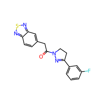 O=C(Cc1ccc2nsnc2c1)N1CCC(c2cccc(F)c2)=N1